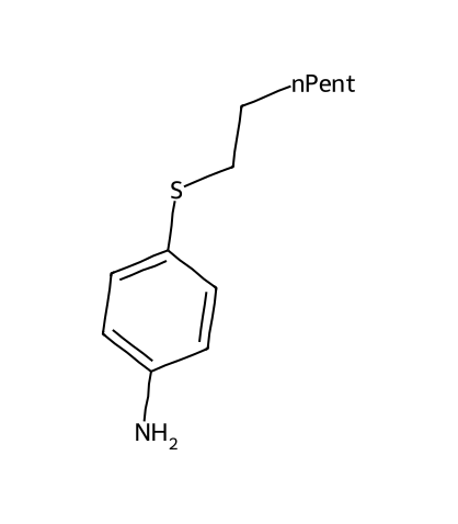 CCCCCCCSc1ccc(N)cc1